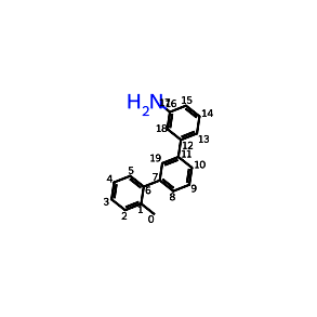 Cc1ccccc1-c1cccc(-c2cccc(N)c2)c1